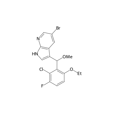 CCOc1ccc(F)c(Cl)c1C(OC)c1c[nH]c2ncc(Br)cc12